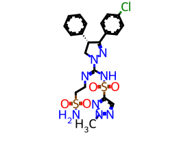 Cn1ncc(S(=O)(=O)NC(=NCCS(N)(=O)=O)N2C[C@H](c3ccccc3)C(c3ccc(Cl)cc3)=N2)n1